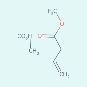 C=CCC(=O)OC(F)(F)F.CC(=O)O